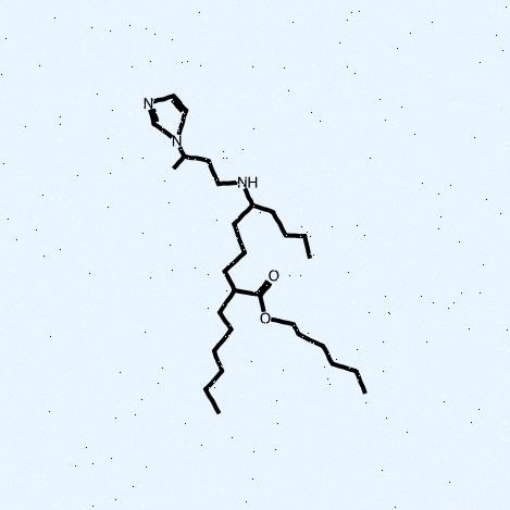 CCCCCCOC(=O)C(CCCCCC)CCCC(CCCC)NCCC(C)n1ccnc1